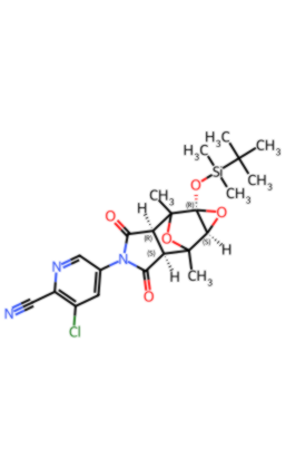 CC12OC(C)([C@@H]3C(=O)N(c4cnc(C#N)c(Cl)c4)C(=O)[C@@H]31)[C@@]1(O[Si](C)(C)C(C)(C)C)O[C@@H]21